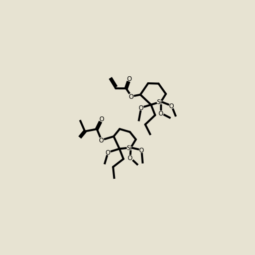 C=C(C)C(=O)OC1CCC[Si](OC)(OC)C1(CCC)OC.C=CC(=O)OC1CCC[Si](OC)(OC)C1(CCC)OC